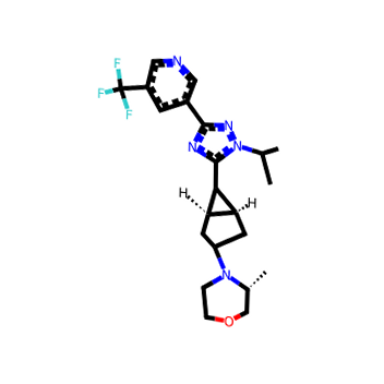 CC(C)n1nc(-c2cncc(C(F)(F)F)c2)nc1C1[C@H]2CC(N3CCOC[C@H]3C)C[C@@H]12